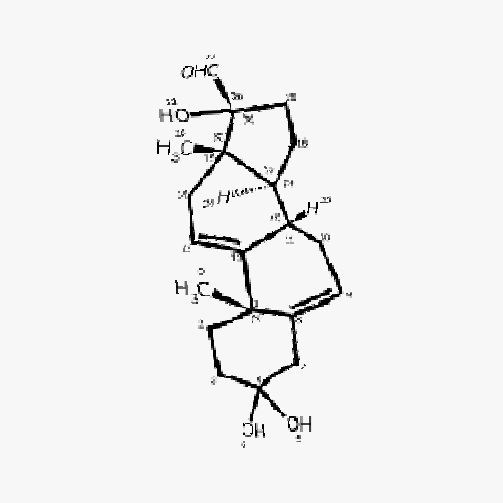 C[C@]12CCC(O)(O)CC1=CC[C@@H]1C2=CC[C@@]2(C)[C@H]1CC[C@]2(O)C=O